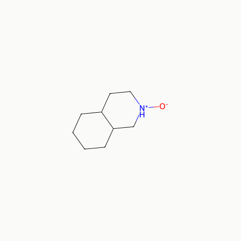 [O-][NH+]1CCC2CCCCC2C1